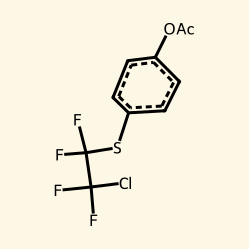 CC(=O)Oc1ccc(SC(F)(F)C(F)(F)Cl)cc1